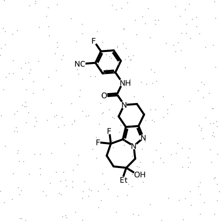 CCC1(O)CCC(F)(F)c2c3c(nn2C1)CCN(C(=O)Nc1ccc(F)c(C#N)c1)C3